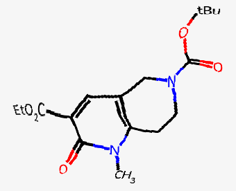 CCOC(=O)c1cc2c(n(C)c1=O)CCN(C(=O)OC(C)(C)C)C2